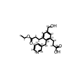 CCOC(=O)CCc1cc(CO)cc(CCC(=O)O)c1Cc1cccnc1